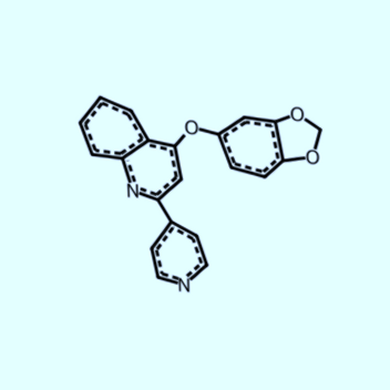 c1ccc2c(Oc3ccc4c(c3)OCO4)cc(-c3ccncc3)nc2c1